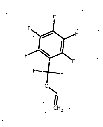 C=COC(F)(F)c1c(F)c(F)c(F)c(F)c1F